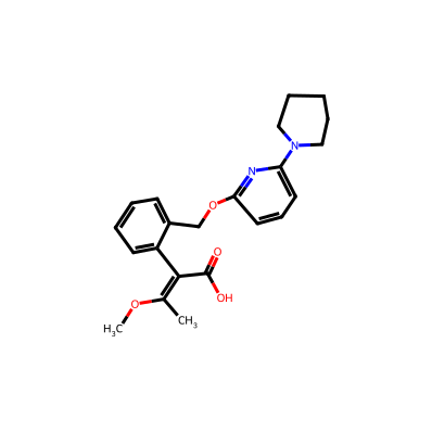 COC(C)=C(C(=O)O)c1ccccc1COc1cccc(N2CCCCC2)n1